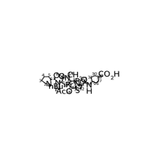 CCCCN1CCCC[C@@H]1C(=O)NC(C(=O)N(C)C(CC(OC(C)=O)c1nc(C(=O)N[C@H]2CC[C@H](C(=O)O)CC2)cs1)C(C)C)C(C)C